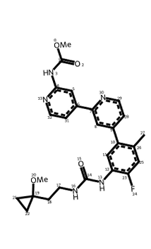 COC(=O)Nc1cc(-c2cc(-c3cc(NC(=O)NCCC4(OC)CC4)c(F)cc3C)ccn2)ccn1